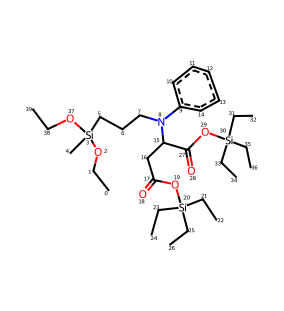 CCO[Si](C)(CCCN(c1ccccc1)C(CC(=O)O[Si](CC)(CC)CC)C(=O)O[Si](CC)(CC)CC)OCC